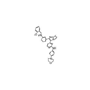 COc1ccccc1CNc1cccc(-c2nc3sccn3c2-c2ccnc(Nc3ccc(N4CCOCC4)cc3)n2)c1